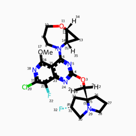 [2H]C([2H])(Oc1nc(N2CCCO[C@@H]3C[C@@H]32)c2c(OC)nc(Cl)c(F)c2n1)[C@@]12CCCN1C[C@H](F)C2